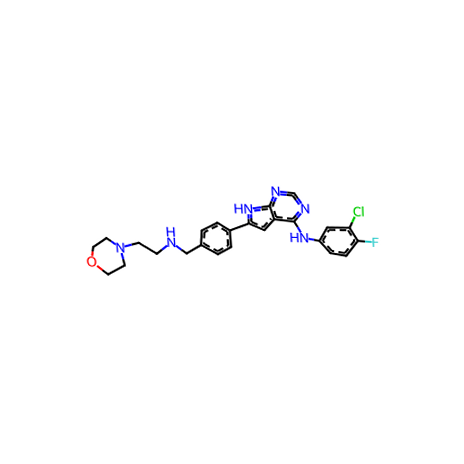 Fc1ccc(Nc2ncnc3[nH]c(-c4ccc(CNCCN5CCOCC5)cc4)cc23)cc1Cl